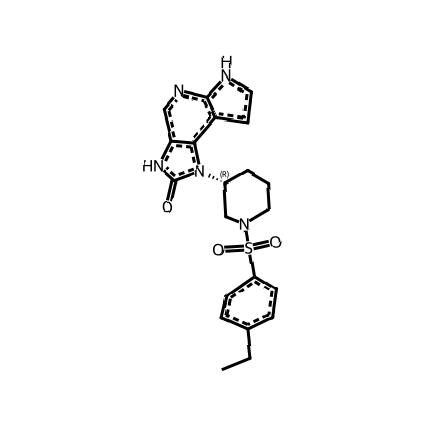 CCc1ccc(S(=O)(=O)N2CCC[C@@H](n3c(=O)[nH]c4cnc5[nH]ccc5c43)C2)cc1